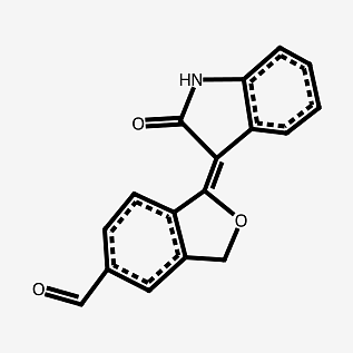 O=Cc1ccc2c(c1)COC2=C1C(=O)Nc2ccccc21